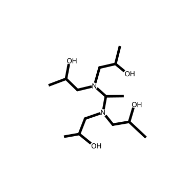 CC(O)CN(CC(C)O)C(C)N(CC(C)O)CC(C)O